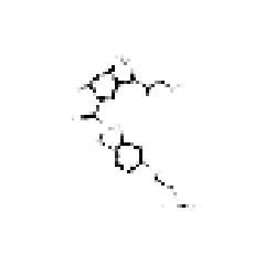 CC(C)CC(=O)c1n[nH]c2cc(O)c(C(=O)N3Cc4ccc(OCCNC(C)C)cc4C3)cc12